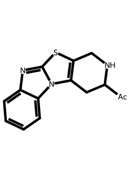 CC(=O)C1Cc2c(sc3nc4ccccc4n23)CN1